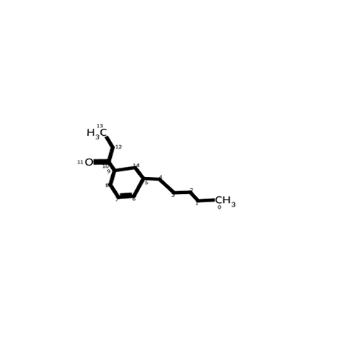 CCCCCC1C=CCC(C(=O)CC)C1